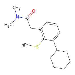 CCCSc1c(CC(=O)N(C)C)cccc1C1CCCCC1